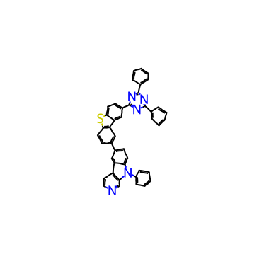 c1ccc(-c2nc(-c3ccccc3)nc(-c3ccc4sc5ccc(-c6ccc7c(c6)c6ccncc6n7-c6ccccc6)cc5c4c3)n2)cc1